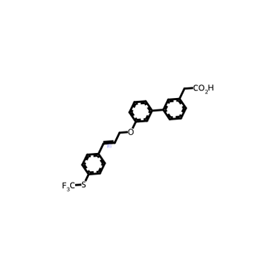 O=C(O)Cc1cccc(-c2cccc(OC/C=C/c3ccc(SC(F)(F)F)cc3)c2)c1